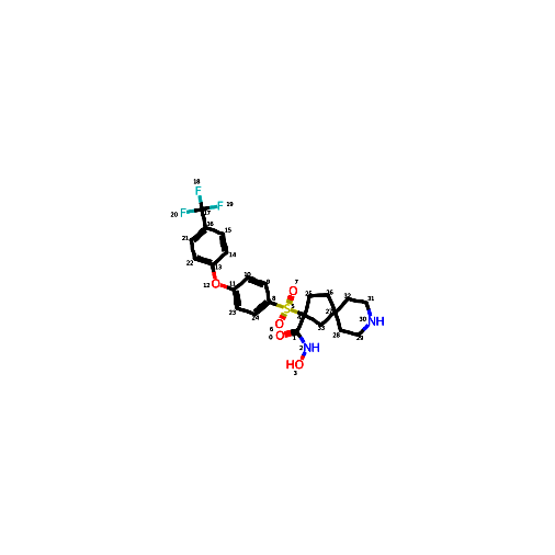 O=C(NO)C1(S(=O)(=O)c2ccc(Oc3ccc(C(F)(F)F)cc3)cc2)CCC2(CCNCC2)C1